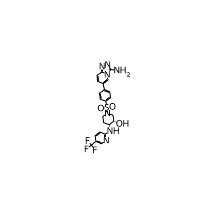 Nc1nnc2ccc(-c3ccc(S(=O)(=O)N4CC[C@@H](Nc5ccc(C(F)(F)F)cn5)[C@@H](O)C4)cc3)cn12